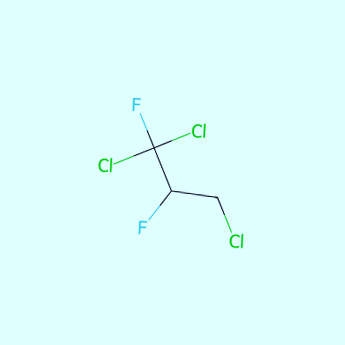 FC(CCl)C(F)(Cl)Cl